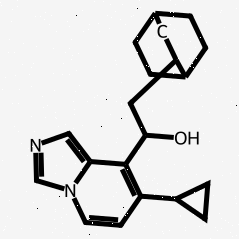 OC(CC1CC2CCC1CC2)c1c(C2CC2)ccn2cncc12